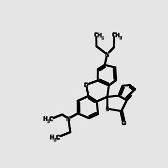 CCN(CC)c1ccc2c(c1)Oc1cc(N(CC)CC)ccc1C21SC(=O)c2ccccc21